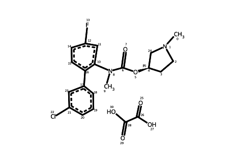 CN1CC[C@@H](OC(=O)N(C)c2cc(F)ccc2-c2cccc(Cl)c2)C1.O=C(O)C(=O)O